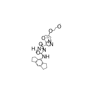 COCCO[C@@H]1COc2c(S(N)(=O)=NC(=O)Nc3c4c(cc5c3CCC5)CCC4)cnn2C1